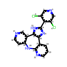 Clc1cncc(Cl)c1-c1nc2c([nH]1)-c1cnccc1Nc1ncccc1-2